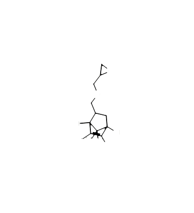 ClC1=C(Cl)C2(Cl)C(COCC3CO3)CC1(Cl)C2(Cl)Cl